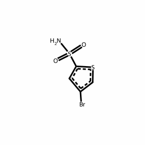 NS(=O)(=O)c1cc(Br)cs1